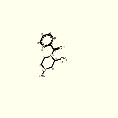 CC(=O)N1CCN(C(=O)c2ncccn2)C(C)C1